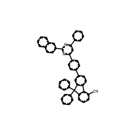 N#Cc1cccc2c1-c1ccc(-c3ccc(-c4cc(-c5ccccc5)nc(-c5ccc6ccccc6c5)n4)cc3)cc1C2(c1ccccc1)c1ccccc1